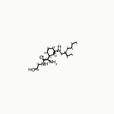 CCCC[C@@H](CC)CNC1=CC(C(N)C(=O)NCCO)CCC1